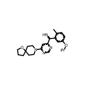 Cc1ccc(OC(C)C)cc1C(=N)c1cc(N2CCC3(CCCO3)CC2)ncn1